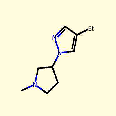 CCc1cnn(C2CCN(C)C2)c1